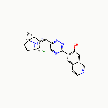 C[C@@]12CCC(N1)[C@@H](F)/C(=C\c1cnc(-c3cc4ccncc4cc3O)nn1)C2